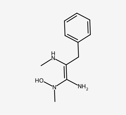 CN/C(Cc1ccccc1)=C(/N)N(C)O